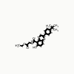 CCOC(=O)CNC(=O)c1c(O)ccc2nc(-c3ccc(C(C)(C)C)cc3)cnc12